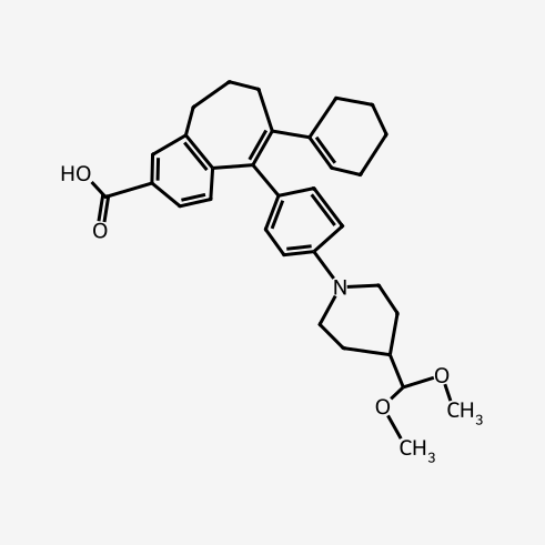 COC(OC)C1CCN(c2ccc(C3=C(C4=CCCCC4)CCCc4cc(C(=O)O)ccc43)cc2)CC1